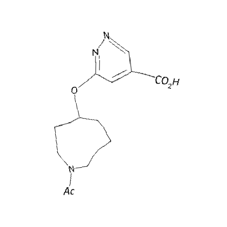 CC(=O)N1CCCC(Oc2cc(C(=O)O)cnn2)CC1